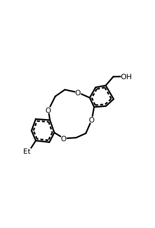 CCc1ccc2c(c1)OCCOc1ccc(CO)cc1OCCO2